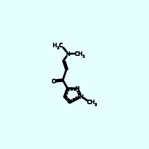 CN(C)C=CC(=O)c1c[c]n(C)n1